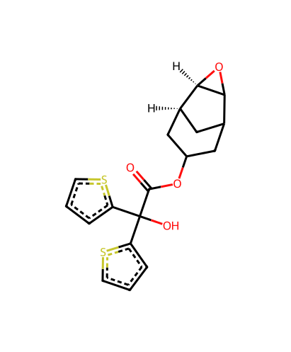 O=C(OC1CC2C[C@@H](C1)[C@H]1OC21)C(O)(c1cccs1)c1cccs1